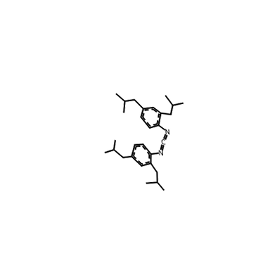 CC(C)Cc1ccc(N=C=Nc2ccc(CC(C)C)cc2CC(C)C)c(CC(C)C)c1